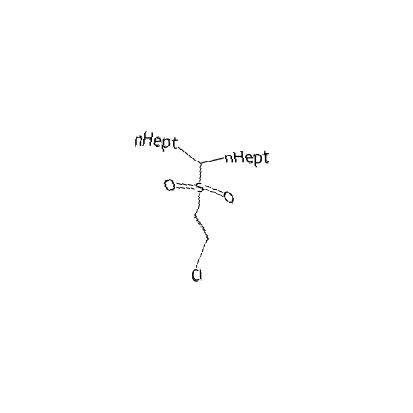 CCCCCCCC(CCCCCCC)S(=O)(=O)CCCl